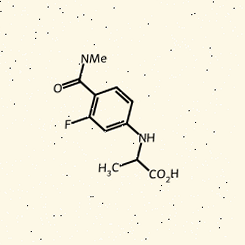 CNC(=O)c1ccc(NC(C)C(=O)O)cc1F